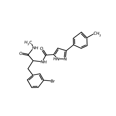 CNC(=O)C(Cc1cccc(Br)c1)NC(=O)c1cc(-c2ccc(C)cc2)n[nH]1